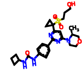 C[C@H]1COCCN1c1cc(C2(S(=O)(=O)CCCO)CC2)nc(-c2ccc(NC(=O)NC3CCC3)cc2)n1